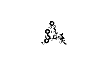 C=CC1CC1(NC(=O)[C@@H]1C[C@@H](Oc2cc(-c3ccccc3)nc3cc(OC)ccc23)CN1C(=O)NCCOc1ccccc1OC)C(=O)OCC